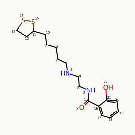 O=C(NCCNCCCCCC1CCSS1)c1ccccc1O